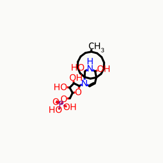 CC1CCCCCC23C=CN(C4OC(COP(=O)(O)O)C(O)C4O)C(CCCCC1)(C2)C(O)NC3O